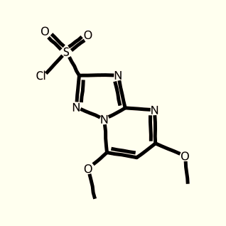 COc1cc(OC)n2nc(S(=O)(=O)Cl)nc2n1